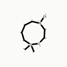 CCN1CCCC[Si](C)(C)OCC1